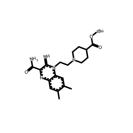 Cc1cc2nc(C(N)=O)c(=N)n(CCN3CCC(C(=O)OC(C)(C)C)CC3)c2cc1C